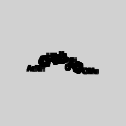 COc1ccc(C(=O)Nc2cnc3[nH]c(-c4cccc(NC(C)=O)c4)cc3c2)cc1